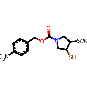 CSC1CN(C(=O)OCc2ccc([N+](=O)[O-])cc2)CC1S